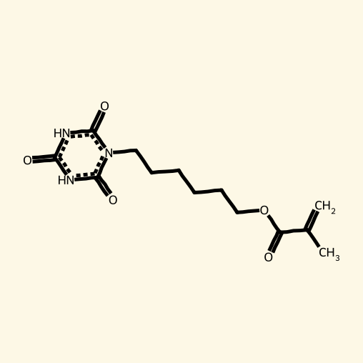 C=C(C)C(=O)OCCCCCCn1c(=O)[nH]c(=O)[nH]c1=O